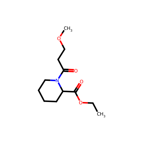 CCOC(=O)C1CCCCN1C(=O)CCOC